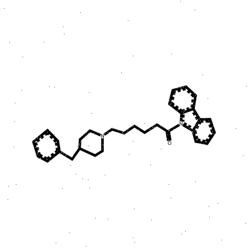 O=C(CCCCCN1CCC(Cc2ccccc2)CC1)n1c2ccccc2c2ccccc21